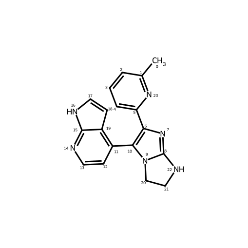 Cc1cccc(-c2nc3n(c2-c2ccnc4[nH]ccc24)CCN3)n1